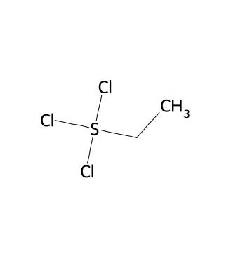 CCS(Cl)(Cl)Cl